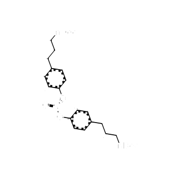 CCCCCCCCCCCCCc1ccc(OS(=O)Oc2ccc(CCCCCCCCCCCCC)cc2)cc1